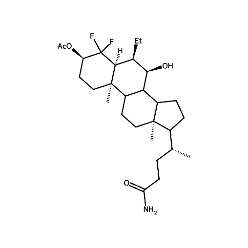 CC[C@@H]1[C@@H]2C(F)(F)[C@H](OC(C)=O)CC[C@]2(C)C2CC[C@@]3(C)C(CCC3[C@H](C)CCC(N)=O)C2[C@@H]1O